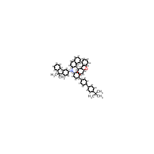 CC(C)(C)c1ccc(-c2ccc(-c3ccc(N(c4ccc5c(c4)-c4ccccc4C5(C)C)c4ccc5ccccc5c4-c4cccc5oc6ccccc6c45)cc3)cc2)cc1